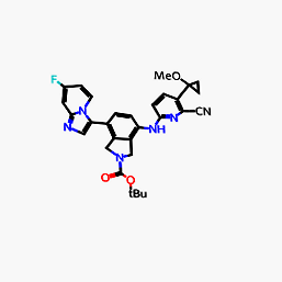 COC1(c2ccc(Nc3ccc(-c4cnc5cc(F)ccn45)c4c3CN(C(=O)OC(C)(C)C)C4)nc2C#N)CC1